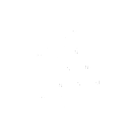 CC1(C)COCCN1c1nc(Cl)nc(N2CCOC[C@H]2CCO)n1